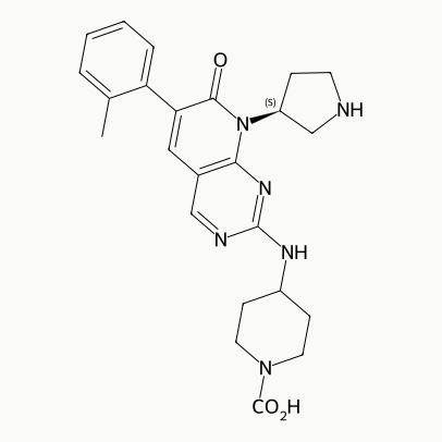 Cc1ccccc1-c1cc2cnc(NC3CCN(C(=O)O)CC3)nc2n([C@H]2CCNC2)c1=O